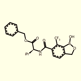 CC(C)[C@H](NC(=O)c1ccc2c(c1C(F)(F)F)B(O)OC2)C(=O)OCc1ccccc1